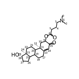 CN(C)CCCC(=O)OC1C[C@@]2(C)C(=CC1=O)CCC1C2CC[C@@]2(C)C1CC[C@@H]2O